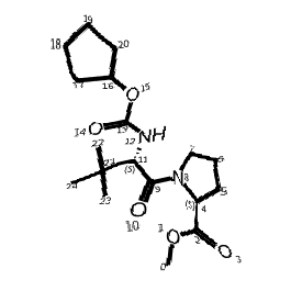 COC(=O)[C@@H]1CCCN1C(=O)[C@@H](NC(=O)OC1CCCC1)C(C)(C)C